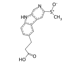 C[S+]([O-])c1cc2c(cn1)[nH]c1ccc(CCC(=O)O)cc12